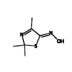 CC1=NC(C)(C)SC1=NO